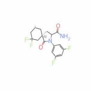 NC(=O)C1C[C@]2(C[CH]CC(F)(F)C2)C(=O)N1c1cc(F)cc(F)c1